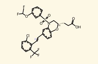 O=C(O)CC[C@H]1CN(S(=O)(=O)c2cccc(OC(F)F)c2)c2cc(/C=C/c3c(Cl)cccc3C(F)(F)F)ccc2O1